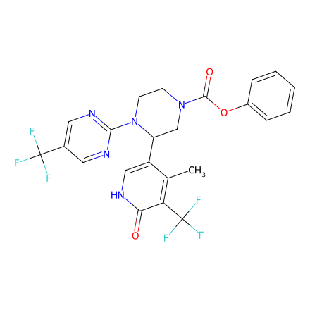 Cc1c(C2CN(C(=O)Oc3ccccc3)CCN2c2ncc(C(F)(F)F)cn2)c[nH]c(=O)c1C(F)(F)F